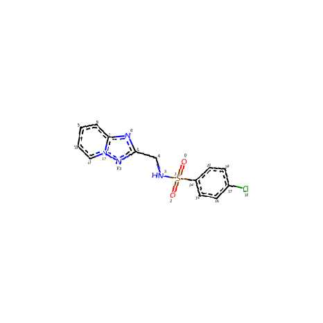 O=S(=O)(NCc1nc2ccccn2n1)c1ccc(Cl)cc1